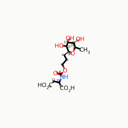 CC1O[C@@H](CCCOC(=O)NC(CC(=O)O)C(=O)O)C(O)C(O)[C@@H]1O